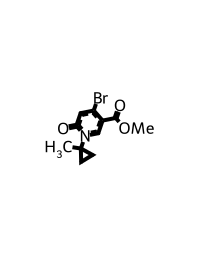 COC(=O)c1cn(C2(C)CC2)c(=O)cc1Br